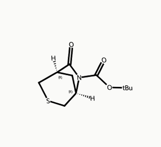 CC(C)(C)OC(=O)N1C(=O)[C@@H]2CSC[C@H]1C2